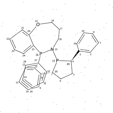 c1ccc([C@H]2CC[C@H](c3ccccc3)P2N2CCCOc3ccccc3P2c2ccccc2)cc1